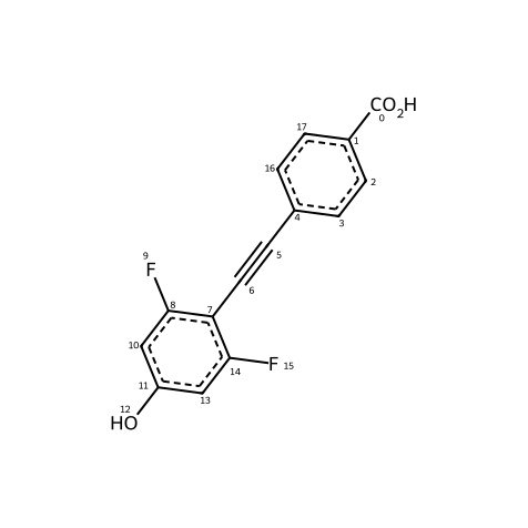 O=C(O)c1ccc(C#Cc2c(F)cc(O)cc2F)cc1